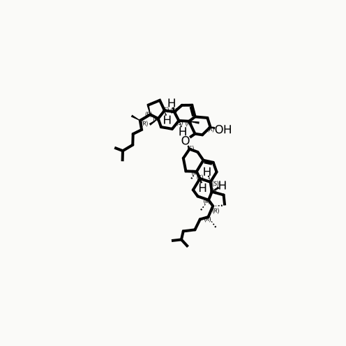 CC(C)CCC[C@@H](C)[C@H]1CC[C@H]2[C@@H]3CC=C4C[C@@H](OC5C[C@H](O)CC6=CC[C@H]7[C@@H]8CC[C@H]([C@H](C)CCCC(C)C)[C@@]8(C)CC[C@@H]7[C@]65C)CC[C@]4(C)[C@H]3CC[C@]12C